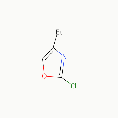 CCc1coc(Cl)n1